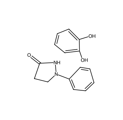 O=C1CCN(c2ccccc2)N1.Oc1ccccc1O